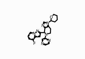 Fc1cccn2nc(C3c4ncn(C5CCCCO5)c4CCN3c3cnccn3)cc12